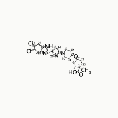 C[C@]1(C(=O)O)CC[C@@H](OC2CCN(c3ccc(-c4nc5cc(Cl)c(Cl)cc5[nH]4)cn3)CC2)CC1